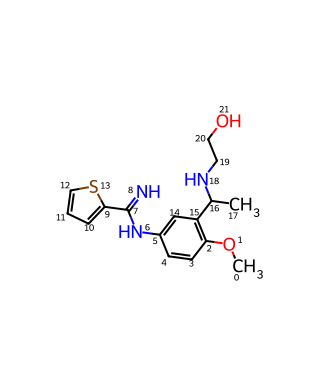 COc1ccc(NC(=N)c2cccs2)cc1C(C)NCCO